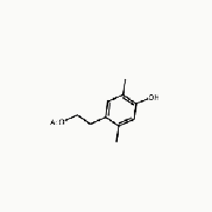 CC(=O)OCCc1cc(C)c(O)cc1C